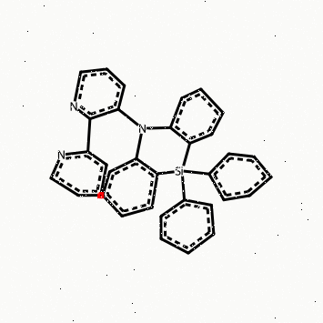 c1ccc([Si]2(c3ccccc3)c3ccccc3N(c3cccnc3-c3ccccn3)c3ccccc32)cc1